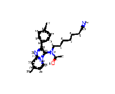 CC(=O)N(CCCCCCC#N)c1c(-c2ccc(C)cc2)nc2cc(C)ccn12